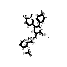 Cn1cc(-c2nc(CNC(=O)c3ncccc3OC(F)F)c(N)nc2-c2ccc(F)cc2)ccc1=O